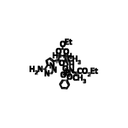 CCOC(=O)[C@H](C)N[P@](=O)(OC[C@@]1(C)O[C@@H](c2ccc3c(N)ncnn23)[C@@H]2OC(OCC)O[C@@H]21)Oc1ccccc1